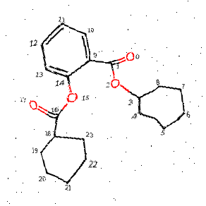 O=C(OC1CCCCC1)c1ccccc1OC(=O)C1CCCCC1